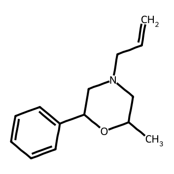 C=CCN1CC(C)OC(c2ccccc2)C1